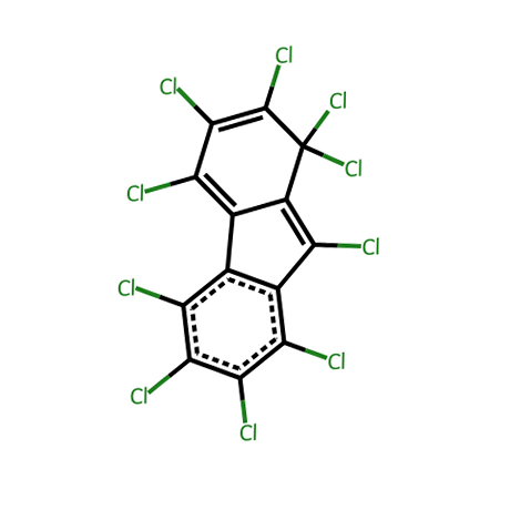 ClC1=C2C(=C(Cl)c3c(Cl)c(Cl)c(Cl)c(Cl)c32)C(Cl)(Cl)C(Cl)=C1Cl